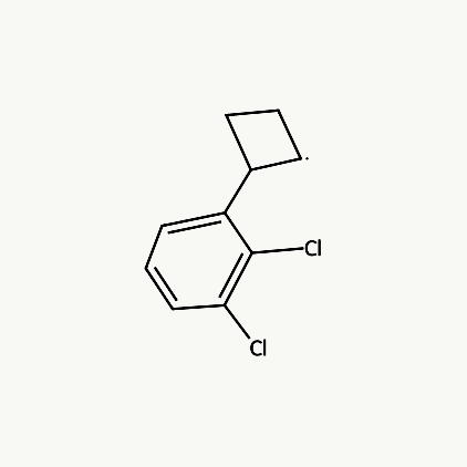 Clc1cccc(C2[CH]CC2)c1Cl